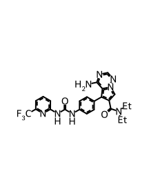 CCN(CC)C(=O)c1cn2ncnc(N)c2c1-c1ccc(NC(=O)Nc2cccc(C(F)(F)F)n2)cc1